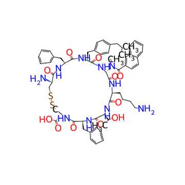 CC(C)Cc1ccc(C[C@@H]2NC(=O)[C@H](Cc3ccccc3)NC(=O)[C@H](N)CSSC[C@@H](C(=O)O)NC(=O)[C@H](Cc3ccccc3)NC(=O)[C@H](C(C)O)NC(=O)[C@H](CCCCN)NC(=O)[C@@H](N(C)C(=O)c3ccc4ccccc4c3)NC2=O)cc1